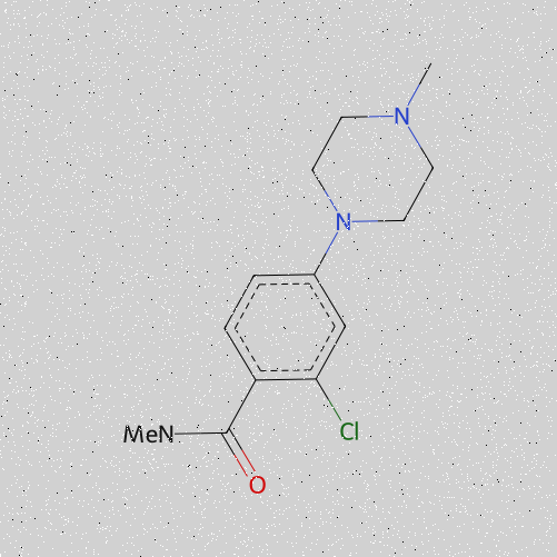 CNC(=O)c1ccc(N2CCN(C)CC2)cc1Cl